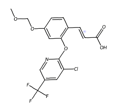 COCOc1ccc(/C=C/C(=O)O)c(Oc2ncc(C(F)(F)F)cc2Cl)c1